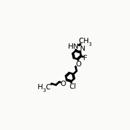 CCCCOc1ccc(CCOc2ccc3[nH]c(C)nc3c2F)cc1Cl